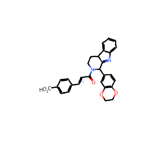 O=C(O)c1ccc(/C=C/C(=O)N2CCC3C(=Nc4ccccc43)C2c2ccc3c(c2)OCCO3)cc1